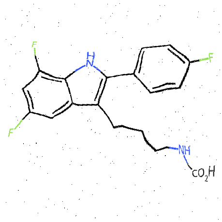 O=C(O)NCCCc1c(-c2ccc(F)cc2)[nH]c2c(F)cc(F)cc12